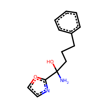 NC(O)(CCCc1ccccc1)c1ncco1